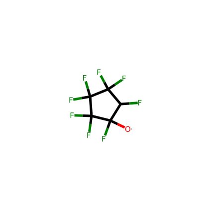 [O]C1(F)C(F)C(F)(F)C(F)(F)C1(F)F